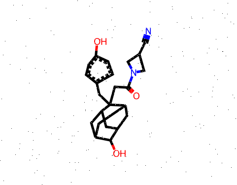 N#CC1CN(C(=O)CC2(Cc3ccc(O)cc3)C3CC4CC2CC(C3)C4O)C1